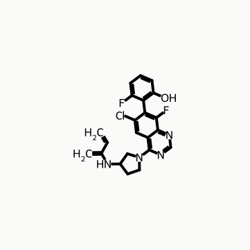 C=CC(=C)NC1CCN(c2ncnc3c(F)c(-c4c(O)cccc4F)c(Cl)cc23)C1